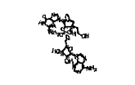 Nc1nc2c(ncn2[C@@H]2OC[C@@](F)(CCO)[C@H]2OP(=O)(O)OC[C@H]2O[C@@H](n3cnc4c(N)ncnc43)[C@H](O)[C@@H]2O)c(=O)[nH]1